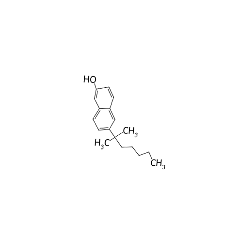 CCCCCC(C)(C)c1ccc2cc(O)ccc2c1